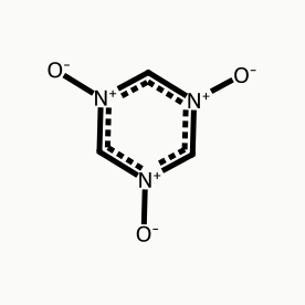 [O-][n+]1c[n+]([O-])c[n+]([O-])c1